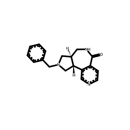 O=C1NC[C@@H]2CN(Cc3ccccc3)C[C@H]2c2cnccc21